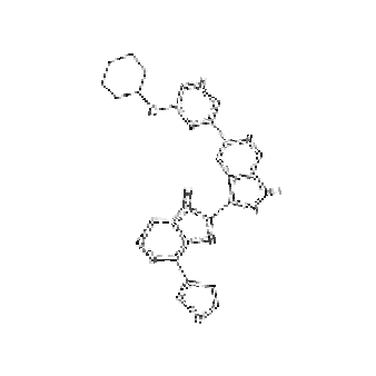 c1cc2[nH]c(-c3n[nH]c4cnc(-c5cncc(OC6CCCCC6)c5)cc34)nc2c(-c2ccoc2)n1